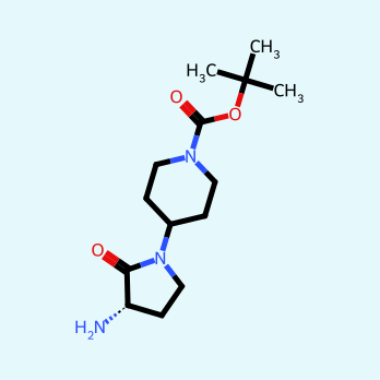 CC(C)(C)OC(=O)N1CCC(N2CC[C@H](N)C2=O)CC1